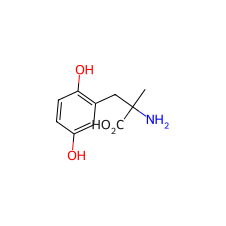 CC(N)(Cc1cc(O)ccc1O)C(=O)O